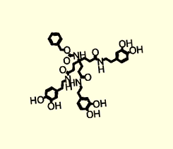 O=C(CCC(CCC(=O)NCCc1ccc(O)c(O)c1)(CCC(=O)NCCc1ccc(O)c(O)c1)NC(=O)OCc1ccccc1)NCCc1ccc(O)c(O)c1